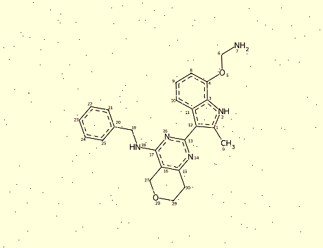 Cc1[nH]c2c(OCN)cccc2c1-c1nc2c(c(NCc3ccccc3)n1)COCC2